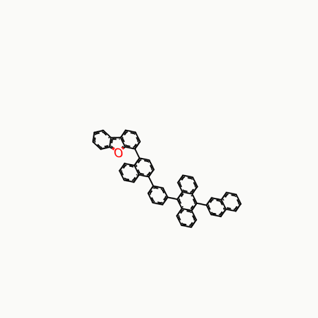 c1cc(-c2ccc(-c3cccc4c3oc3ccccc34)c3ccccc23)cc(-c2c3ccccc3c(-c3ccc4ccccc4c3)c3ccccc23)c1